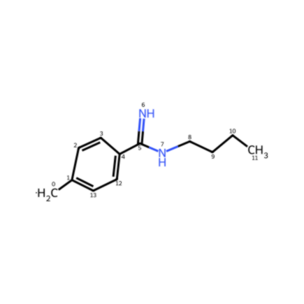 [CH2]c1ccc(C(=N)NCCCC)cc1